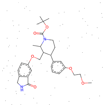 COCCOc1cccc(C2CCN(C(=O)OC(C)(C)C)C(C)C2COc2ccc3c(c2)C(=O)NC3)c1